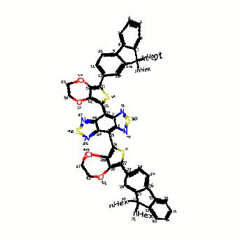 CCCCCCCC1(CCCCCC)c2ccccc2-c2ccc(-c3sc(-c4c5c(c(-c6sc(-c7ccc8c(c7)C(CCCCCC)(CCCCCC)c7ccccc7-8)c7c6OCCO7)c6nsnc46)N=S=N5)c4c3OCCO4)cc21